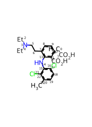 CC(=O)O.CCN(CC)CCc1cccc(C(=O)O)c1Nc1c(Cl)ccc(C)c1Cl